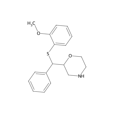 COc1ccccc1SC(c1ccccc1)C1CNCCO1